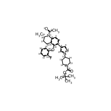 CC(=O)N1c2ccc(-c3cnn(C4CCN(C(=O)OC(C)(C)C)CC4)c3)c(Oc3ccccc3F)c2CC[C@@H]1C